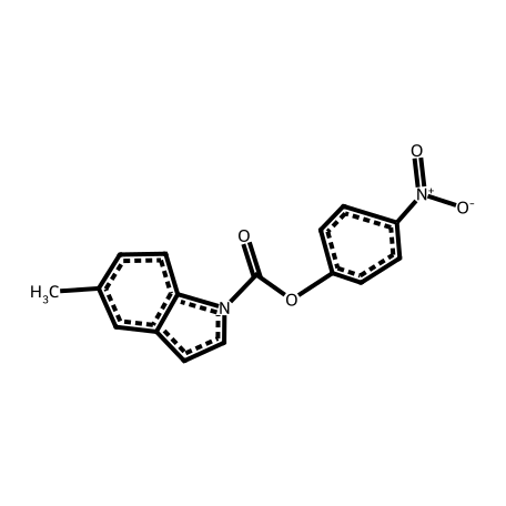 Cc1ccc2c(ccn2C(=O)Oc2ccc([N+](=O)[O-])cc2)c1